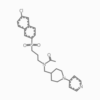 CC(=O)N(CCCS(=O)(=O)c1ccc2cc(Cl)ccc2c1)CC1CCN(c2ccncc2)CC1